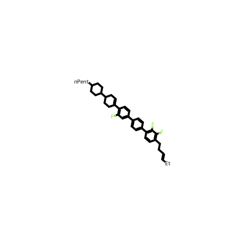 CC/C=C/CCc1ccc(-c2ccc(-c3ccc(C4=CCC(C5CCC(CCCCC)CC5)CC4)c(F)c3)cc2)c(F)c1F